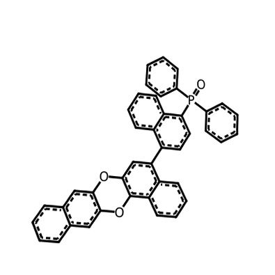 O=P(c1ccccc1)(c1ccccc1)c1ccc(-c2cc3c(c4ccccc24)Oc2cc4ccccc4cc2O3)c2ccccc12